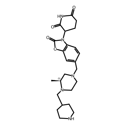 C[C@H]1CN(Cc2ccc3c(c2)oc(=O)n3C2CCC(=O)NC2=O)CCN1CC1CCNCC1